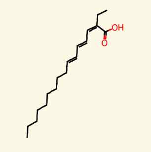 CCCCCCCCCC=CC=CC=C(CC)C(=O)O